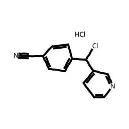 Cl.N#Cc1ccc(C(Cl)c2cccnc2)cc1